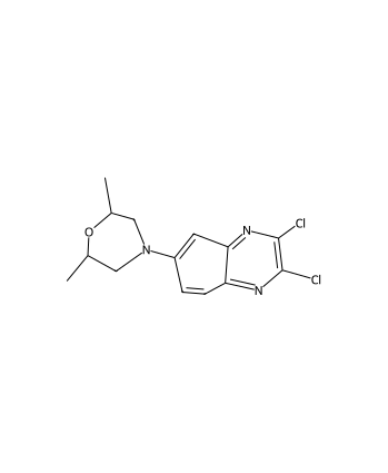 CC1CN(c2ccc3nc(Cl)c(Cl)nc3c2)CC(C)O1